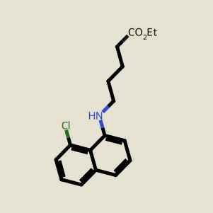 CCOC(=O)CCCCNc1cccc2cccc(Cl)c12